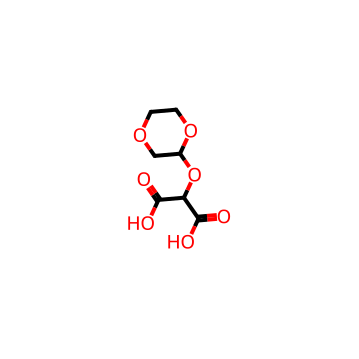 O=C(O)C(OC1COCCO1)C(=O)O